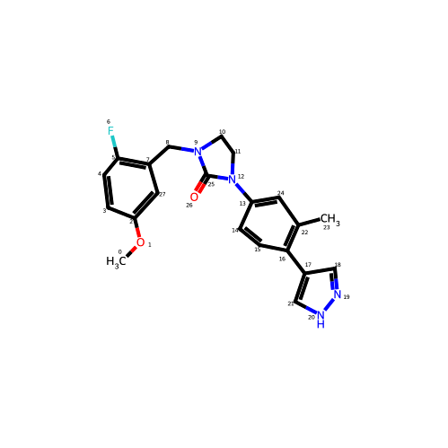 COc1ccc(F)c(CN2CCN(c3ccc(-c4cn[nH]c4)c(C)c3)C2=O)c1